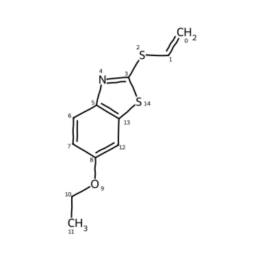 C=CSc1nc2ccc(OCC)cc2s1